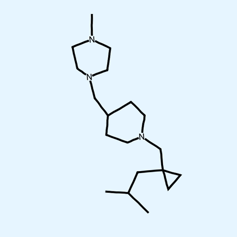 CC(C)CC1(CN2CCC(CN3CCN(C)CC3)CC2)CC1